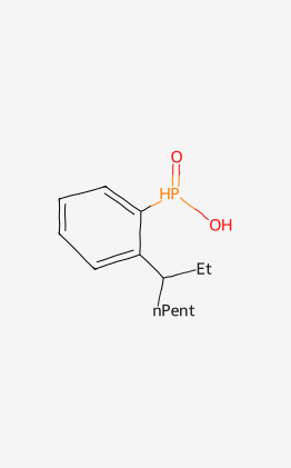 CCCCCC(CC)c1ccccc1[PH](=O)O